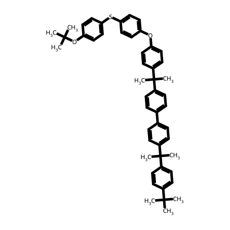 CC(C)(C)Oc1ccc(Sc2ccc(Oc3ccc(C(C)(C)c4ccc(-c5ccc(C(C)(C)c6ccc(C(C)(C)C)cc6)cc5)cc4)cc3)cc2)cc1